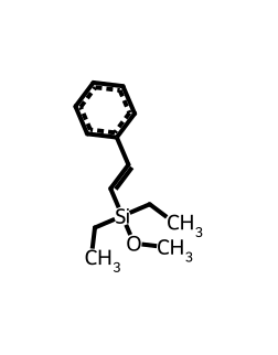 CC[Si](C=Cc1ccccc1)(CC)OC